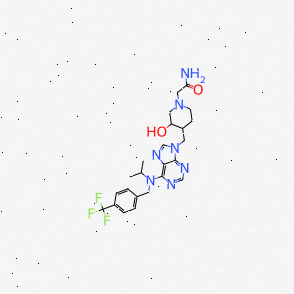 CC(C)N(Cc1ccc(C(F)(F)F)cc1)c1ncnc2c1ncn2CC1CCN(CC(N)=O)CC1O